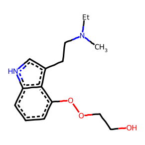 CCN(C)CCc1c[nH]c2cccc(OOCCO)c12